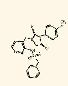 O=C1CN(Cc2ccncc2NS(=O)(=O)Cc2ccccc2)C(=O)N1c1ccc(SC(F)(F)F)cc1